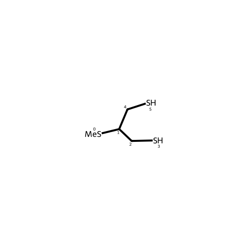 CSC(CS)CS